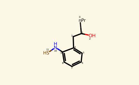 CCCC(O)Cc1ccccc1NS